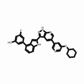 Oc1cc(F)cc(-c2cccc3[nH]c(-c4n[nH]c5ncc(-c6cncc(OC7CCCCC7)c6)cc45)cc23)c1